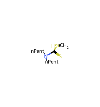 C=[SH]C(=S)N(CCCCC)CCCCC